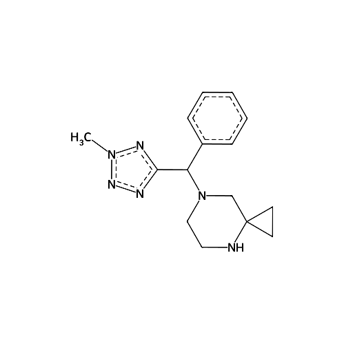 Cn1nnc(C(c2ccccc2)N2CCNC3(CC3)C2)n1